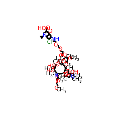 CC[C@H]1OC(=O)[C@H](C)[C@@H](O[C@H]2C[C@@](C)(OC)[C@@H](OC(=O)CCOCCOCCNc3cc4c(=O)c(C(=O)O)cn(C5CC5)c4cc3Cl)[C@H](C)O2)C(C)[C@@H](O[C@@H]2O[C@H](C)C[C@H](N(C)C)[C@H]2O)[C@](C)(O)C[C@@H](C)/C(=N\OCOCCOC)[C@H](C)[C@@H](O)[C@]1(C)O